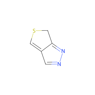 C1=NN=C2CSC=C12